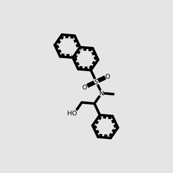 CN(C(CO)c1ccccc1)S(=O)(=O)c1ccc2ccccc2c1